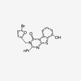 CCCc1nc2sc3c(O)cccc3c2c(=O)n1Cc1ccc(Br)o1